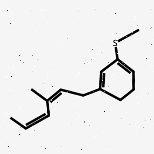 C/C=C\C(C)=C/CC1=CC(SC)=CCC1